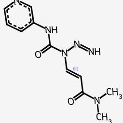 CN(C)C(=O)/C=C/N(N=N)C(=O)Nc1cccnc1